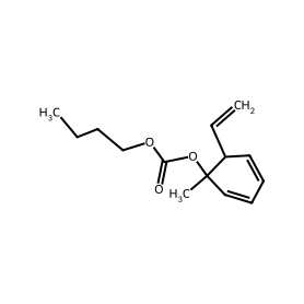 C=CC1C=CC=CC1(C)OC(=O)OCCCC